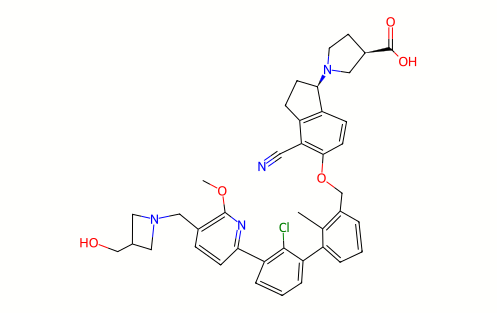 COc1nc(-c2cccc(-c3cccc(COc4ccc5c(c4C#N)CC[C@H]5N4CC[C@@H](C(=O)O)C4)c3C)c2Cl)ccc1CN1CC(CO)C1